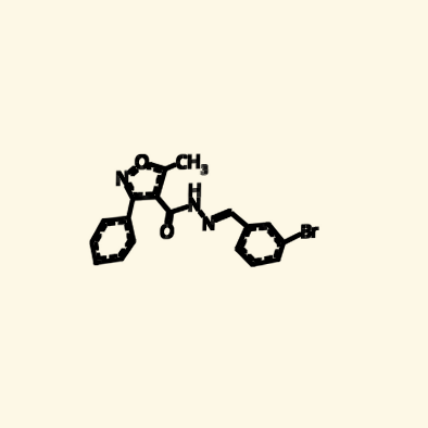 Cc1onc(-c2ccccc2)c1C(=O)N/N=C/c1cccc(Br)c1